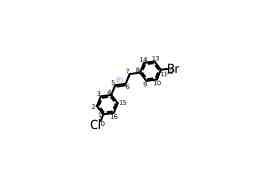 Clc1ccc(/C=C/[CH]c2ccc(Br)cc2)cc1